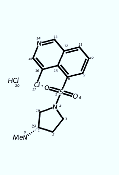 CN[C@H]1CCN(S(=O)(=O)c2cccc3cncc(Cl)c23)C1.Cl